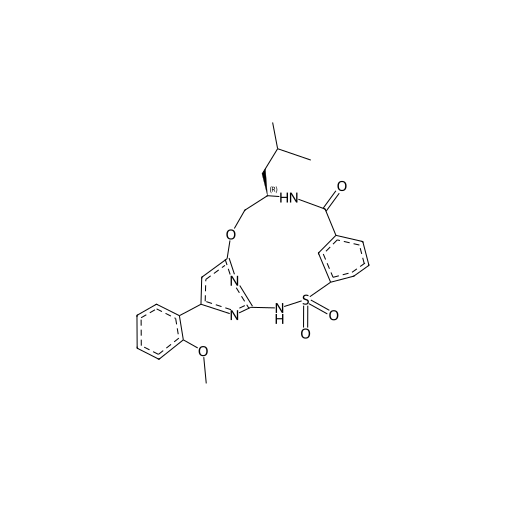 COc1ccccc1-c1cc2nc(n1)NS(=O)(=O)c1cccc(c1)C(=O)N[C@H](CC(C)C)CO2